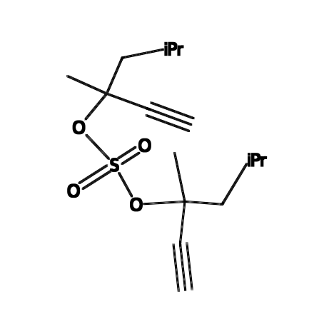 C#CC(C)(CC(C)C)OS(=O)(=O)OC(C)(C#C)CC(C)C